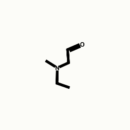 CCN(C)CC=O